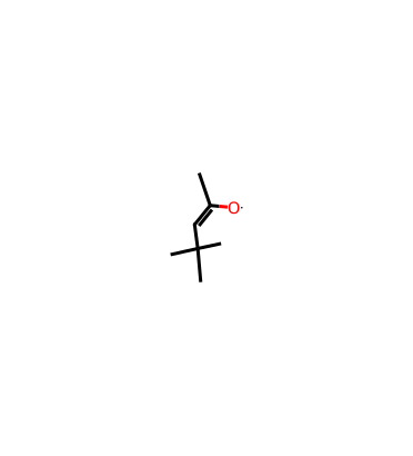 CC([O])=CC(C)(C)C